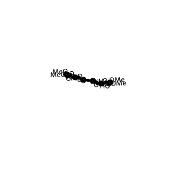 COc1cc(O)c(C(=O)Oc2ccc(C(=O)Nc3ccc(C#Cc4ccc(OC(=O)c5ccc(OC(=O)c6cc(OC)c(OC)cc6O)cc5)cc4)cc3)cc2)cc1OC